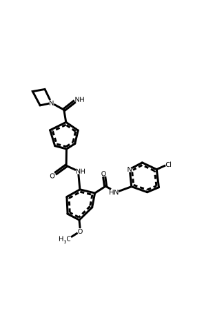 COc1ccc(NC(=O)c2ccc(C(=N)N3CCC3)cc2)c(C(=O)Nc2ccc(Cl)cn2)c1